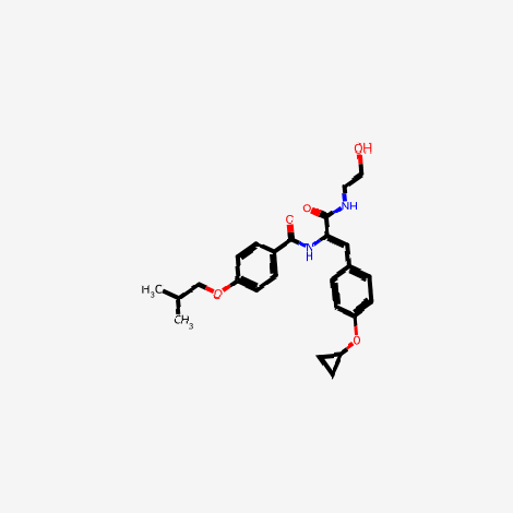 CC(C)COc1ccc(C(=O)N/C(=C\c2ccc(OC3CC3)cc2)C(=O)NCCO)cc1